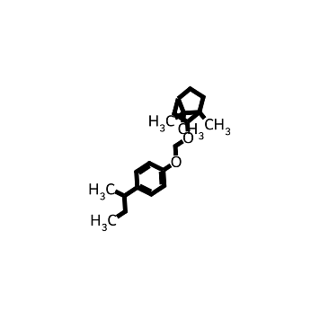 CCC(C)c1ccc(OCOC2CC3CCC2(C)C3(C)C)cc1